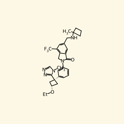 CCO[C@H]1C[C@](c2cccc(N3Cc4c(cc(CNC5(C)CCC5)cc4C(F)(F)F)C3=O)c2)(c2nncn2C)C1